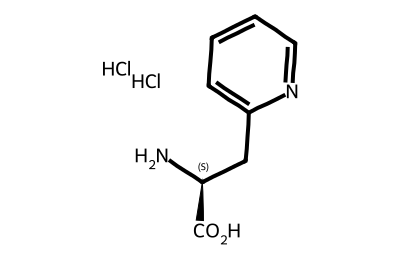 Cl.Cl.N[C@@H](Cc1ccccn1)C(=O)O